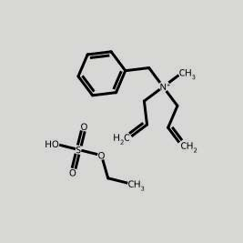 C=CC[N+](C)(CC=C)Cc1ccccc1.CCOS(=O)(=O)O